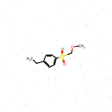 CCc1ccc(S(=O)(=O)COC)cc1